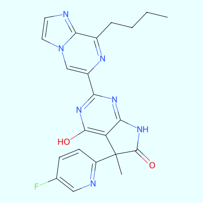 CCCCc1nc(-c2nc(O)c3c(n2)NC(=O)C3(C)c2ccc(F)cn2)cn2ccnc12